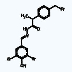 CC(C)Cc1ccc(C(C)C(=O)NN=Cc2cc(Br)c(O)c(Br)c2)cc1